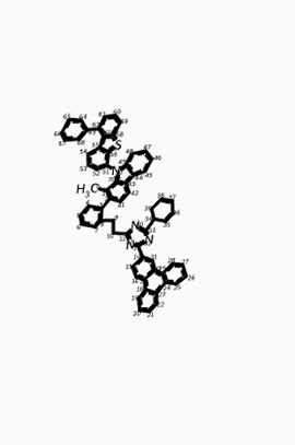 Cc1c(-c2ccccc2CCc2nc(-c3ccc4c5ccccc5c5ccccc5c4c3)nc(C3C=CC=CC3)n2)ccc2c3ccccc3n(-c3cccc4c3sc3cccc(-c5ccccc5)c34)c12